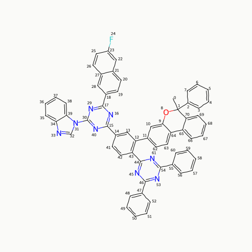 CC1(c2ccccc2)Oc2cc(-c3cc(-c4nc(-c5ccc6cc(F)ccc6c5)nc(-n5cnc6ccccc65)n4)ccc3-c3nc(-c4ccccc4)nc(-c4ccccc4)n3)ccc2-c2ccccc21